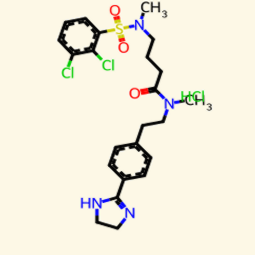 CN(CCc1ccc(C2=NCCN2)cc1)C(=O)CCCN(C)S(=O)(=O)c1cccc(Cl)c1Cl.Cl